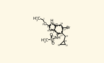 CCOc1nc2c(NS(C)(=O)=O)c(CC3CC3)c(Br)cc2[nH]1